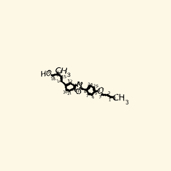 CCCCOc1ccc(-c2nc3cc(CC[C](C)CO)ccc3o2)cc1